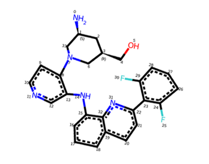 N[C@H]1C[C@@H](CO)CN(c2ccncc2Nc2cccc3ccc(-c4c(F)cccc4F)nc23)C1